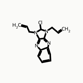 C=CCN1c2nc3ccccc3nc2N(CC=C)C1Cl